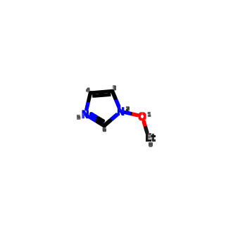 CCOn1ccnc1